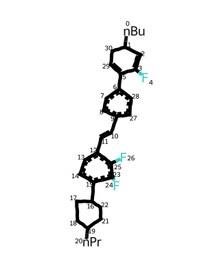 CCCCC1C=C(F)C(c2ccc(/C=C/c3ccc(C4CCC(CCC)CC4)c(F)c3F)cc2)=CC1